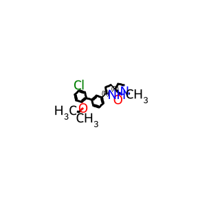 CC(C)Oc1ccc(Cl)cc1-c1cccc([C@H]2CC[C@]3(CCN(C)C3=O)N2)c1